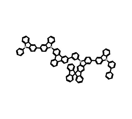 c1ccc(-c2cccc(-n3c4ccccc4c4cc(-c5ccc6c(c5)c5cc7c(cc5n6-c5cccc(-c6ccc8c9ccccc9c9cc(-n%10c%11ccccc%11c%11cc(-c%12ccc%13c(c%12)c%12ccccc%12n%13-c%12ccccc%12)ccc%11%10)ccc9c8c6)c5)C5(c6ccccc6-c6ccccc65)c5ccccc5-7)ccc43)c2)cc1